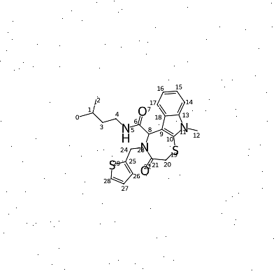 CC(C)CCNC(=O)C1c2c(n(C)c3ccccc23)SCC(=O)N1Cc1cccs1